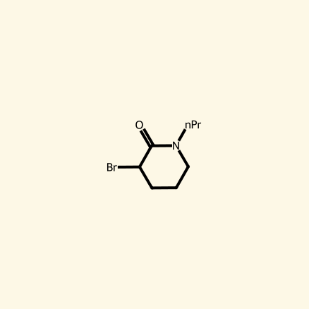 CCCN1CCCC(Br)C1=O